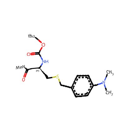 CNC(=O)[C@H](CSCc1ccc(N(C)C)cc1)NC(=O)OC(C)(C)C